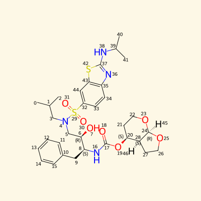 CC(C)CN(C[C@@H](O)[C@H](Cc1ccccc1)NC(=O)O[C@H]1CCO[C@H]2OCC[C@H]21)S(=O)(=O)c1ccc2nc(NC(C)C)sc2c1